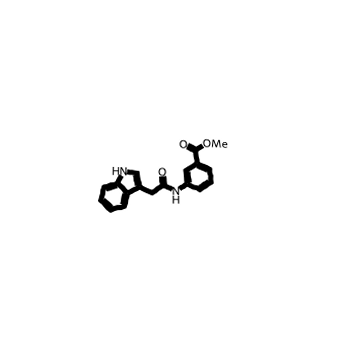 COC(=O)c1cccc(NC(=O)Cc2c[nH]c3ccccc23)c1